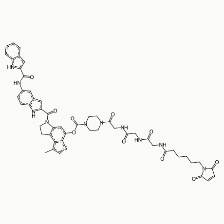 Cc1csc2c(OC(=O)N3CCN(C(=O)CNC(=O)CNC(=O)CNC(=O)CCCCCN4C(=O)C=CC4=O)CC3)cc3c(c12)CCN3C(=O)c1cc2cc(NC(=O)c3cc4ccccc4[nH]3)ccc2[nH]1